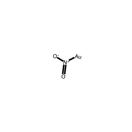 O=[N+]([O-])[Au]